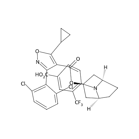 O=C(O)c1ccc(N2[C@@H]3CC[C@H]2C[C@@H](OC(=O)c2c(-c4c(Cl)cccc4Cl)noc2C2CC2)C3)c(C(F)(F)F)c1